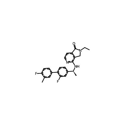 CCN1Cc2c(ccnc2N[C@@H](C)c2ccc(-c3ccc(F)c(C)c3)c(F)c2)C1=O